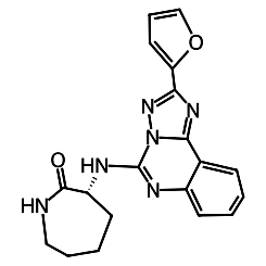 O=C1NCCCC[C@H]1Nc1nc2ccccc2c2nc(-c3ccco3)nn12